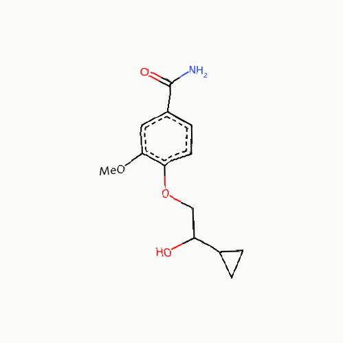 COc1cc(C(N)=O)ccc1OCC(O)C1CC1